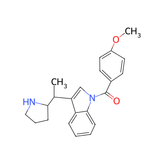 COc1ccc(C(=O)n2cc(C(C)C3CCCN3)c3ccccc32)cc1